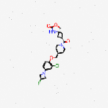 O=C1N[C@]2(CO1)C[C@H](C(=O)N1CCC(COc3ccc(N4CC(F)C4)cc3Cl)CC1)C2